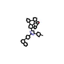 Cc1ccc(-c2cc(-c3ccc4c(c3)C3(c5ccccc5-c5ccccc5-4)c4ccccc4-c4ccccc43)nc(-c3ccc(-c4cccc5ccccc45)cc3)n2)cc1